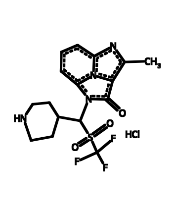 Cc1nc2cccc3n(C(C4CCNCC4)S(=O)(=O)C(F)(F)F)c(=O)c1n23.Cl